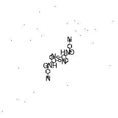 N#Cc1ccc(C(=O)NCc2ccc(SSc3ccc(CNC(=O)c4ccc(C#N)cc4)c4cccnc34)c3ncccc23)cc1